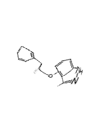 Cc1n[nH]c2cccc(O[C@H](C)Cc3ccccc3)c12